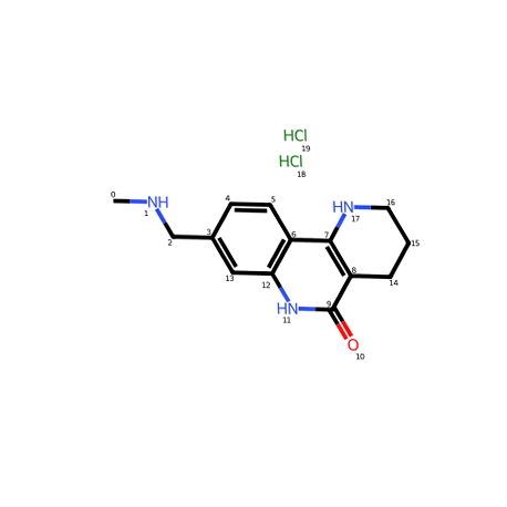 CNCc1ccc2c3c(c(=O)[nH]c2c1)CCCN3.Cl.Cl